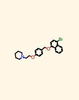 Brc1ccc(OCc2ccc(OCCN3CCCCC3)cc2)c2ccccc12